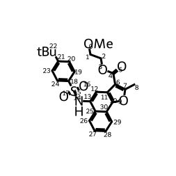 COCCOC(=O)c1c(C)oc2c1cc(NS(=O)(=O)c1ccc(C(C)(C)C)cc1)c1ccccc12